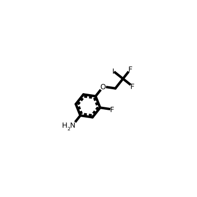 Nc1ccc(OCC(F)(F)I)c(F)c1